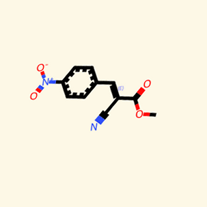 COC(=O)/C(C#N)=C/c1ccc([N+](=O)[O-])cc1